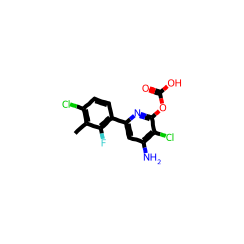 Cc1c(Cl)ccc(-c2cc(N)c(Cl)c(OC(=O)O)n2)c1F